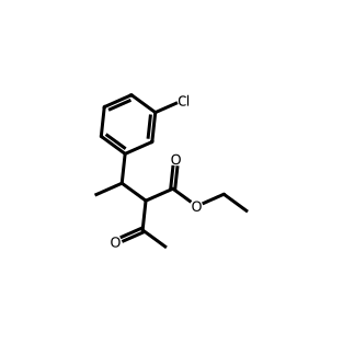 CCOC(=O)C(C(C)=O)C(C)c1cccc(Cl)c1